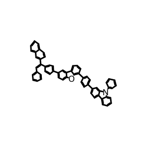 C(=C(/c1ccc(-c2ccc3oc4c(-c5ccc(-c6ccc7c8ccccc8n(-c8ccccc8)c7c6)cc5)cccc4c3c2)cc1)c1ccc2ccccc2c1)/c1ccccc1